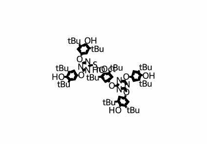 CC(C)(C)c1cc(Oc2nc(Oc3cc(C(C)(C)C)c(O)c(C(C)(C)C)c3)nc(Oc3cc(C(C)(C)C)c(O)c(C(C)(C)C)c3)n2)cc(C(C)(C)C)c1O.CCCCCCCCSc1nc(Oc2cc(C(C)(C)C)c(O)c(C(C)(C)C)c2)nc(Oc2cc(C(C)(C)C)c(O)c(C(C)(C)C)c2)n1